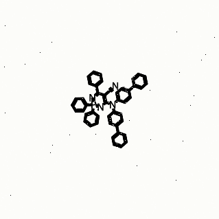 N#CC1=C(N(c2ccc(-c3ccccc3)cc2)c2ccc(-c3ccccc3)cc2)N=P(c2ccccc2)(c2ccccc2)N=C1c1ccccc1